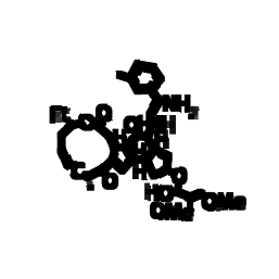 CC[C@H]1CCCC[C@@H](C)C(=O)C2=CC3[C@@H](C(O)C(N/C=C(\N)c4cccc(C)c4)[C@@H]4C[C@@H](OC(O)[C@H](COC)OC)C[C@@H]34)[C@@H]2CC(=O)O1